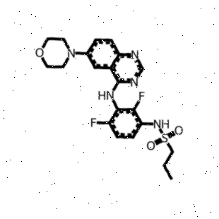 CCCS(=O)(=O)Nc1ccc(F)c(Nc2ncnc3ccc(N4CCOCC4)cc23)c1F